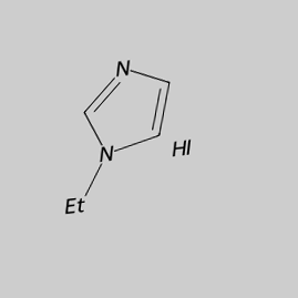 CCn1ccnc1.I